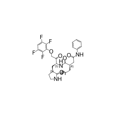 CC(C)C[C@H](CC(=O)Nc1ccccc1)C(=O)N[C@@H](C[C@@H]1CCNC1=O)C(=O)COc1c(F)c(F)cc(F)c1F